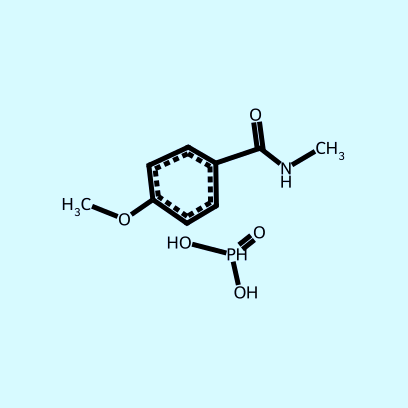 CNC(=O)c1ccc(OC)cc1.O=[PH](O)O